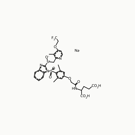 Cc1cc(OCC(=O)NC(CCC(=O)O)C(=O)O)cc(C)c1S(=O)(=O)n1c([S+]([O-])Cc2nccc(OCC(F)(F)F)c2C)nc2ccccc21.[Na]